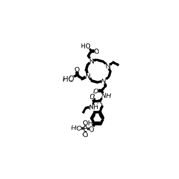 CCNC(=O)[C@@H](Cc1ccc(OP(=O)(O)O)cc1)NC(=O)CN1CCN(CC)CCN(CC(=O)O)CCN(CC(=O)O)CC1